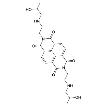 CC(O)CNCCN1C(=O)c2ccc3c4c(ccc(c24)C1=O)C(=O)N(CCNCC(C)O)C3=O